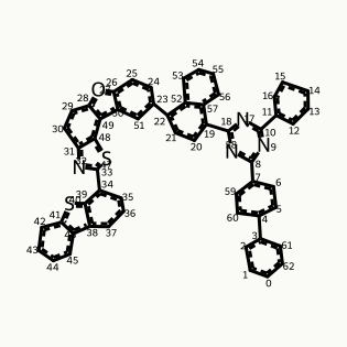 c1ccc(-c2ccc(-c3nc(-c4ccccc4)nc(-c4ccc(-c5ccc6oc7ccc8nc(-c9cccc%10c9sc9ccccc9%10)sc8c7c6c5)c5ccccc45)n3)cc2)cc1